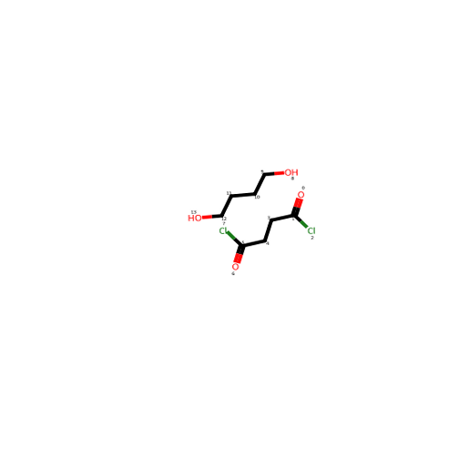 O=C(Cl)CCC(=O)Cl.OCCCCO